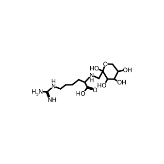 N=C(N)NCCCCC(NCC1(O)OCC(O)C(O)C1O)C(=O)O